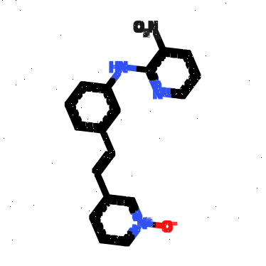 O=[N+]([O-])c1cccnc1Nc1cccc(/C=C/c2ccc[n+]([O-])c2)c1